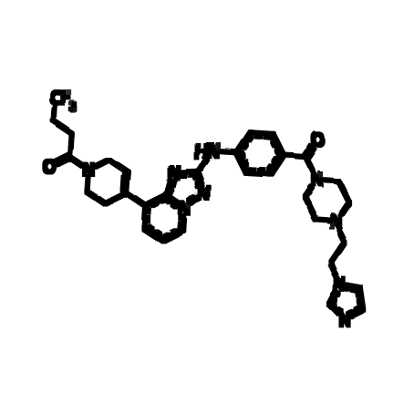 O=C(CCC(F)(F)F)N1CC=C(c2cccn3nc(Nc4ccc(C(=O)N5CCN(CCn6ccnc6)CC5)cc4)nc23)CC1